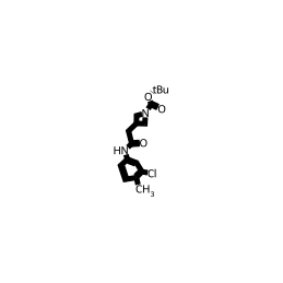 Cc1ccc(NC(=O)CC2CN(C(=O)OC(C)(C)C)C2)cc1Cl